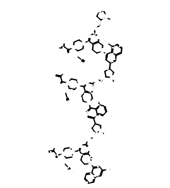 C=C(F)C(=O)N1CCN(c2nc(OC[C@@H]3CC(c4ccc(N5CCc6c(nc(OC[C@H]7CC(c8cc(N9CCc%10c(nc(OC[C@H]%11C[C@@H](F)CN%11C)nc%10N%10CCN(C(=O)C(=C)F)[C@@H](CC#N)C%10)C9)c9c(Cl)cccc9c8)CN7C)nc6N6CCN(C(=O)C(=C)F)[C@@H](CC#N)C6)C5)c5c(Cl)cccc45)CN3C)nc3c2CCN(c2cc(O)cc4ccccc24)C3)C[C@@H]1CC#N